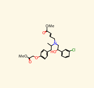 COC(=O)C=CCN(CC(O)c1cccc(Cl)c1)C(C)Cc1ccc(OCC(=O)OC)cc1